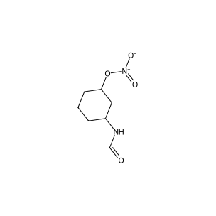 O=CNC1CCCC(O[N+](=O)[O-])C1